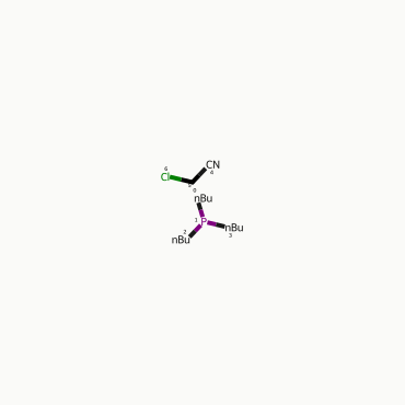 CCCCP(CCCC)CCCC.N#CCCl